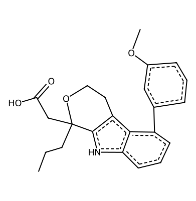 CCCC1(CC(=O)O)OCCc2c1[nH]c1cccc(-c3cccc(OC)c3)c21